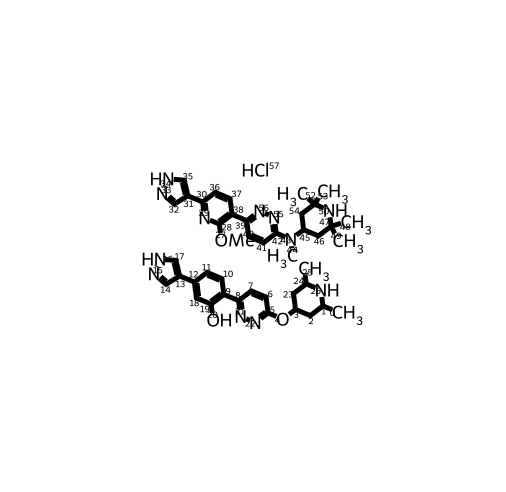 CC1CC(Oc2ccc(-c3ccc(-c4cn[nH]c4)cc3O)nn2)CC(C)N1.COc1nc(-c2cn[nH]c2)ccc1-c1ccc(N(C)C2CC(C)(C)NC(C)(C)C2)nn1.Cl